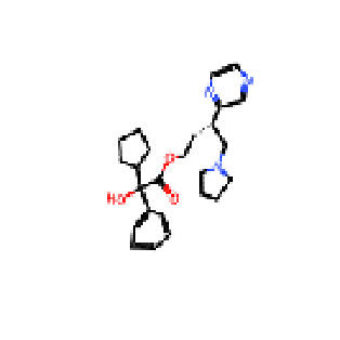 O=C(OCC[C@@H](CN1CCCC1)c1cnccn1)C(O)(c1ccccc1)C1CCCC1